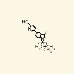 C#Cc1ccc(-c2ccc3c(c2)c(I)cn3C(=O)OC(C)(C)C)cn1